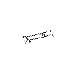 CCCCCC(O)CCCCCCCCCCCC(=O)O.CCCCCCCCCCCCCCCC(=O)OC